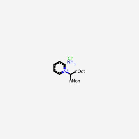 CCCCCCCCCC(CCCCCCCC)[n+]1ccccc1.N.[Cl-]